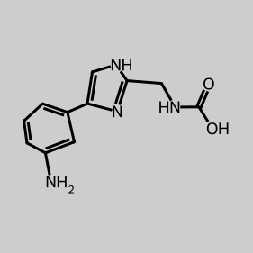 Nc1cccc(-c2c[nH]c(CNC(=O)O)n2)c1